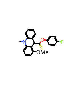 COc1cccc2c1C(C(=S)Oc1ccc(F)cc1)c1ccccc1N2C